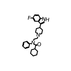 O=C(C1CCCCC1)N(CCN1CCC(c2c[nH]c3ccc(F)cc23)CC1)c1ccccc1